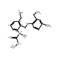 CCc1cc(C)ccc1OCc1c(CO)cccc1N(O)C(=O)OC